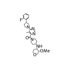 COC1COCCC1NC1CCN(C(=O)c2ncnc(N3CCC(c4ccccc4F)C3)c2C)CC1